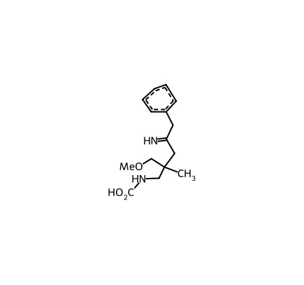 COCC(C)(CNC(=O)O)CC(=N)Cc1ccccc1